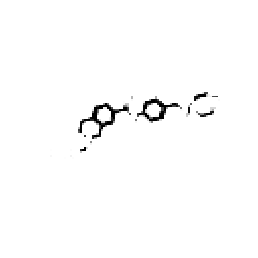 O=C(O)CN1CCc2ccc(C(=O)Nc3ccc(C=NN4CCOCC4)cc3)cc2C1